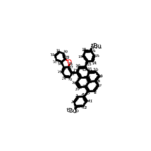 CC(C)(C)c1ccc(-c2ccc3ccc4c(-c5ccc(C(C)(C)C)cc5)cc(-c5cccc6c5oc5ccccc56)c5ccc2c3c45)cc1